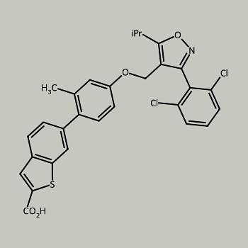 Cc1cc(OCc2c(-c3c(Cl)cccc3Cl)noc2C(C)C)ccc1-c1ccc2cc(C(=O)O)sc2c1